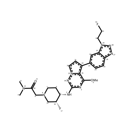 COc1nc(N[C@H]2CCN(CC(=O)N(C)C)C[C@H]2F)nn2ccc(-c3ccc4nnn(CCF)c4c3)c12